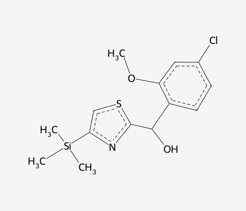 COc1cc(Cl)ccc1C(O)c1nc([Si](C)(C)C)cs1